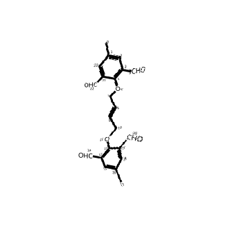 Cc1cc(C=O)c(OC/C=C/COc2c(C=O)cc(C)cc2C=O)c(C=O)c1